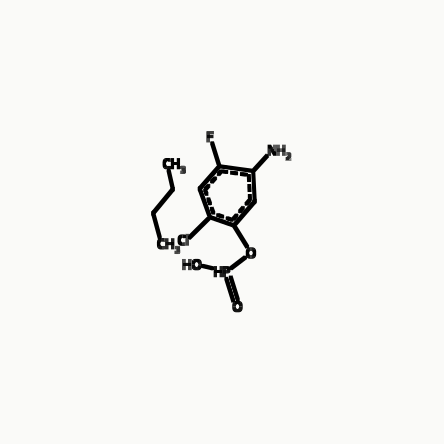 CCCC.Nc1cc(O[PH](=O)O)c(Cl)cc1F